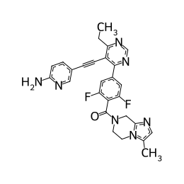 CCc1ncnc(-c2cc(F)c(C(=O)N3CCn4c(C)cnc4C3)c(F)c2)c1C#Cc1ccc(N)nc1